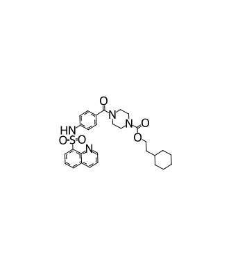 O=C(OCCC1CCCCC1)N1CCN(C(=O)c2ccc(NS(=O)(=O)c3cccc4cccnc34)cc2)CC1